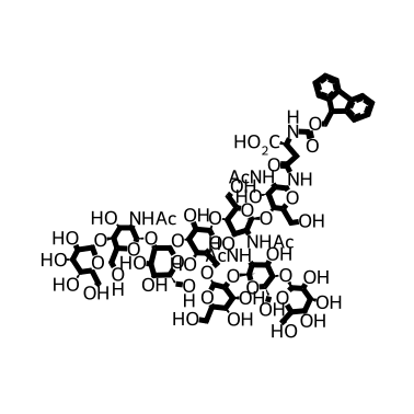 CC(=O)NC1C(O)[C@H](O[C@@H]2OC(CO)[C@H](O)[C@H](O)C2O)[C@H](CO)O[C@H]1OC1[C@@H](OCC2O[C@@H](O[C@@H]3C(CO)O[C@@H](O[C@@H]4C(CO)O[C@@H](NC(=O)C[C@H](NC(=O)OCC5c6ccccc6-c6ccccc65)C(=O)O)C(NC(C)=O)[C@H]4O)C(NC(C)=O)[C@H]3O)C(O)[C@@H](O[C@H]3O[C@H](CO)[C@@H](O)C(O)C3O[C@@H]3OC(CO)[C@@H](O[C@@H]4OC(CO)[C@H](O)[C@H](O)C4O)[C@H](O)C3NC(C)=O)[C@@H]2O)OC(CO)[C@@H](O)[C@@H]1O